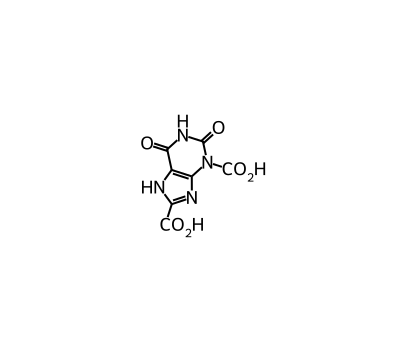 O=C(O)c1nc2c([nH]1)c(=O)[nH]c(=O)n2C(=O)O